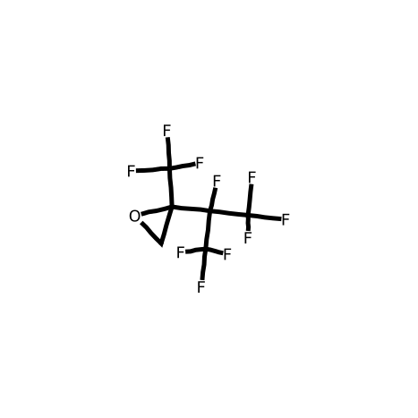 FC(F)(F)C1(C(F)(C(F)(F)F)C(F)(F)F)CO1